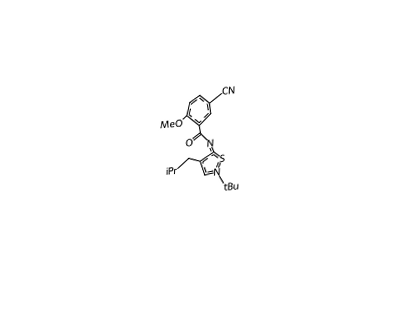 COc1ccc(C#N)cc1C(=O)N=c1sn(C(C)(C)C)cc1CC(C)C